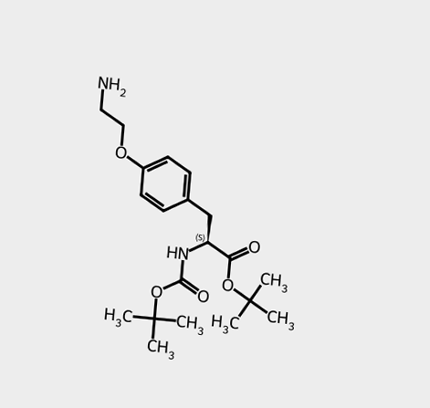 CC(C)(C)OC(=O)N[C@@H](Cc1ccc(OCCN)cc1)C(=O)OC(C)(C)C